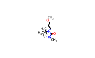 CNC(=O)N(CCCOC)C(C)(C)C